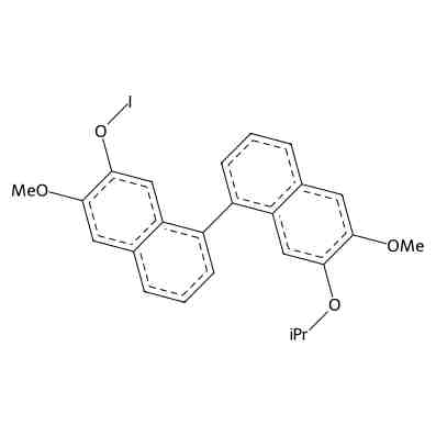 COc1cc2cccc(-c3cccc4cc(OC)c(OC(C)C)cc34)c2cc1OI